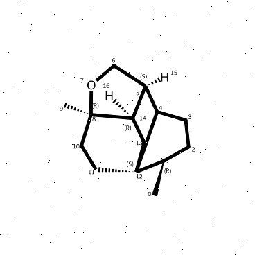 C[C@@H]1CCC2[C@@H]3CO[C@]4(C)CC[C@@]21C[C@H]34